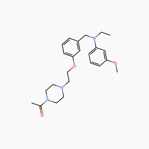 CCN(Cc1cccc(OCCN2CCN(C(C)=O)CC2)c1)c1cccc(OC)c1